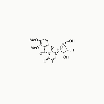 COc1cccc(C(=O)n2c(=O)c(F)cn([C@H]3O[C@@H](CO)C(O)C3O)c2=O)c1OC